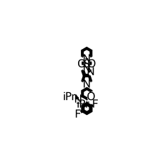 CC(C)N(C(C)C)[C@H]1C[C@@H](N2Cc3cn(S(=O)(=O)N4CCCCC4)nc3C2)CO[C@@H]1c1cc(F)ccc1F